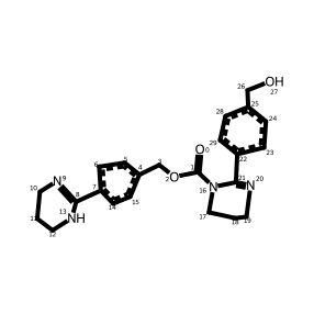 O=C(OCc1ccc(C2=NCCCN2)cc1)N1CCCN=C1c1ccc(CO)cc1